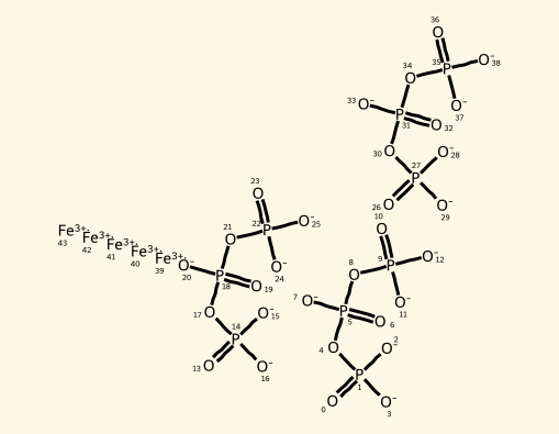 O=P([O-])([O-])OP(=O)([O-])OP(=O)([O-])[O-].O=P([O-])([O-])OP(=O)([O-])OP(=O)([O-])[O-].O=P([O-])([O-])OP(=O)([O-])OP(=O)([O-])[O-].[Fe+3].[Fe+3].[Fe+3].[Fe+3].[Fe+3]